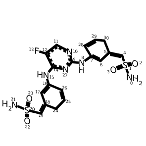 NS(=O)(=O)C=C1C=C(Nc2ncc(F)c(NC3=CC(=CS(N)(=O)=O)CC=C3)n2)C=CC1